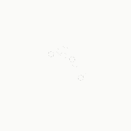 CCC(C)(C)c1ccc(OCC(=O)Nc2cccc(C(=O)NC3=NN(c4c(Cl)cc(Cl)cc4Cl)C(=O)C3N3CCOC3=O)c2)c(C(C)(C)CC)c1